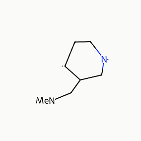 CNCC1[CH]CC[N]C1